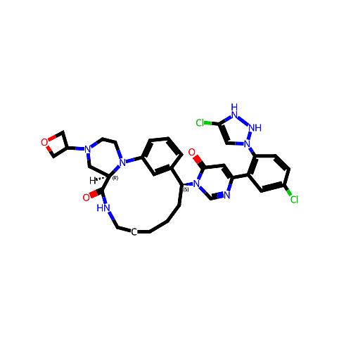 O=C1NCCCCC[C@H](n2cnc(-c3cc(Cl)ccc3N3C=C(Cl)NN3)cc2=O)c2cccc(c2)N2CCN(C3COC3)C[C@H]12